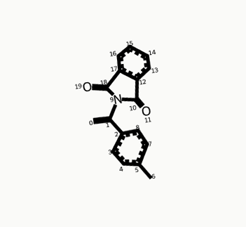 C=C(c1ccc(C)cc1)N1C(=O)c2ccccc2C1=O